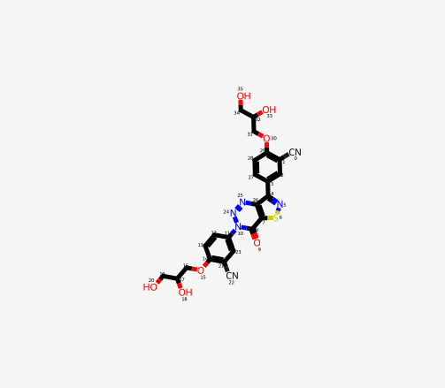 N#Cc1cc(-c2nsc3c(=O)n(-c4ccc(OCC(O)CO)c(C#N)c4)nnc23)ccc1OCC(O)CO